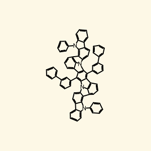 c1ccc(-c2cccc(-c3c4c5cccc6c7c8c(ccc7n(c4c(-c4cccc(-c7ccccc7)c4)c4c7cccc9c%10c%11c(ccc%10n(c34)c79)c3ccccc3n%11-c3ccccc3)c56)c3ccccc3n8-c3ccccc3)c2)cc1